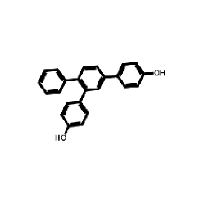 Oc1ccc(-c2ccc(-c3ccccc3)c(-c3ccc(O)cc3)c2)cc1